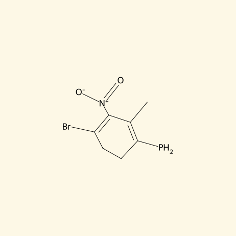 CC1=C(P)CCC(Br)=C1[N+](=O)[O-]